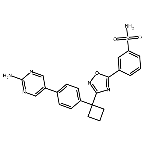 Nc1ncc(-c2ccc(C3(c4noc(-c5cccc(S(N)(=O)=O)c5)n4)CCC3)cc2)cn1